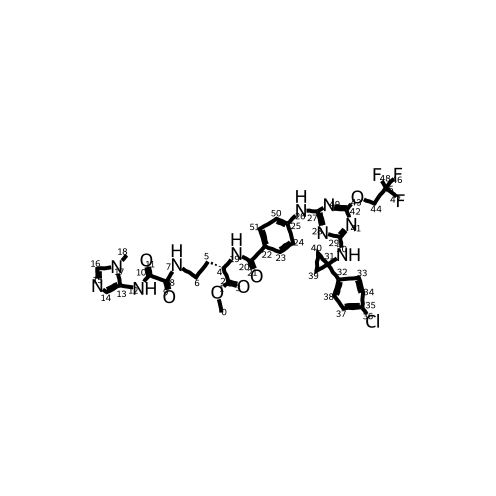 COC(=O)[C@H](CCNC(=O)C(=O)Nc1cncn1C)NC(=O)c1ccc(Nc2nc(NC3(c4ccc(Cl)cc4)CC3)nc(OCC(F)(F)F)n2)cc1